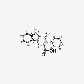 O=CN([C@@H](Cc1c[nH]c2ccccc12)C(=O)O)N1C=CN=CC1